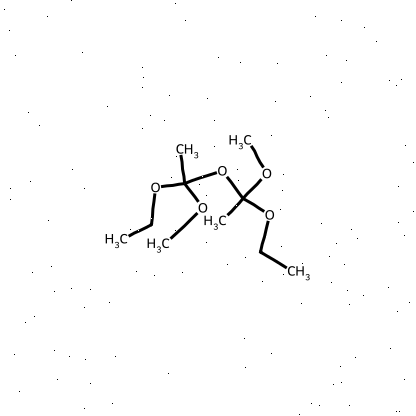 CCOC(C)(OC)OC(C)(OC)OCC